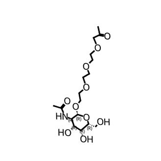 CC(=O)COCCOCCOCCO[C@@H]1O[C@H](CO)[C@H](O)[C@H](O)[C@H]1NC(C)=O